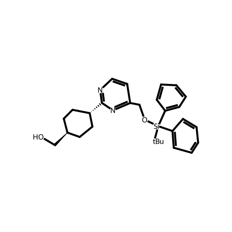 CC(C)(C)[Si](OCc1ccnc([C@H]2CC[C@H](CO)CC2)n1)(c1ccccc1)c1ccccc1